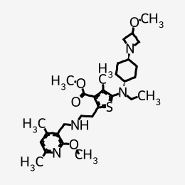 CCN(c1sc(CCNCc2c(C)cc(C)nc2OC)c(C(=O)OC)c1C)[C@H]1CC[C@H](N2CC(OC)C2)CC1